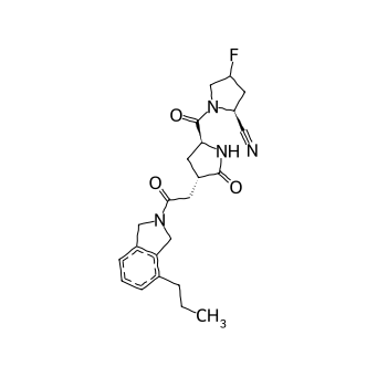 CCCc1cccc2c1CN(C(=O)C[C@@H]1C[C@@H](C(=O)N3CC(F)C[C@H]3C#N)NC1=O)C2